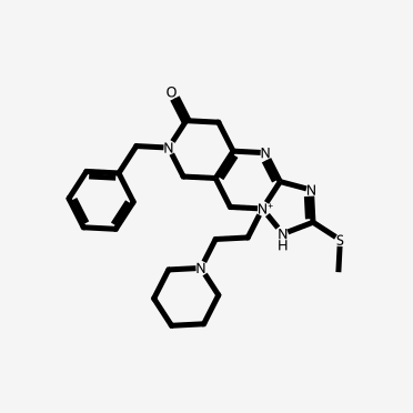 CSC1=NC2=NC3=C(CN(Cc4ccccc4)C(=O)C3)C[N+]2(CCN2CCCCC2)N1